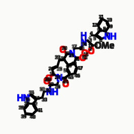 COC(=O)[C@@H](CC1=CNC2C=CC=CC12)NC(=O)CN1C(=O)/C2=C/C=C/C(=O)N(CC(=O)NCCc3c[nH]c4ccccc34)C(=O)c3ccc(c2c3)C1=O